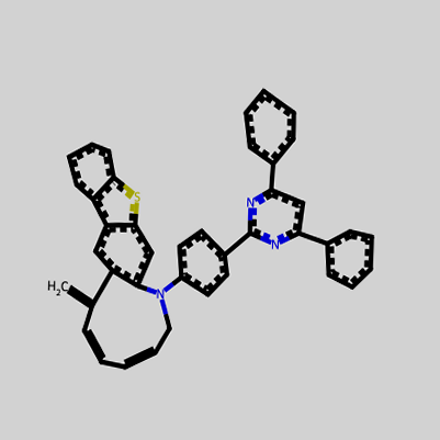 C=C1/C=C\C=C/CN(c2ccc(-c3nc(-c4ccccc4)cc(-c4ccccc4)n3)cc2)c2cc3sc4ccccc4c3cc21